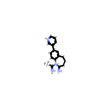 N=C1CCCc2cc(-c3cccnc3)ccc2N1C(=N)C(F)(F)F